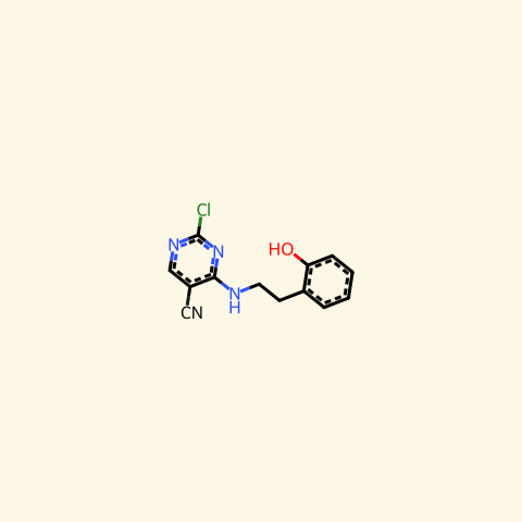 N#Cc1cnc(Cl)nc1NCCc1ccccc1O